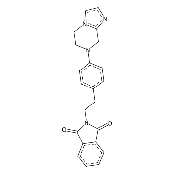 O=C1c2ccccc2C(=O)N1CCc1ccc(N2CCn3ccnc3C2)cc1